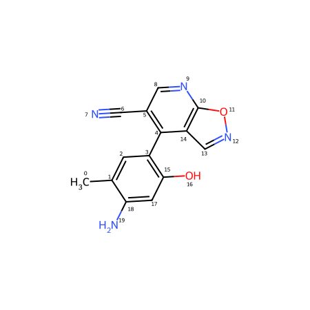 Cc1cc(-c2c(C#N)cnc3oncc23)c(O)cc1N